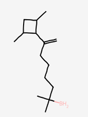 BC(C)(C)CCCCC(=C)C1C(C)CC1C